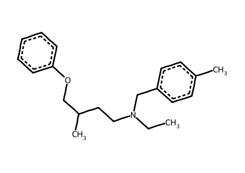 CCN(CCC(C)COc1ccccc1)Cc1ccc(C)cc1